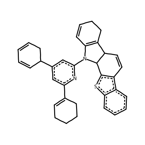 C1=CCC(c2cc(C3=CCCCC3)nc(N3C4=C(CCC=C4)C4C=Cc5c(sc6ccccc56)C43)c2)C=C1